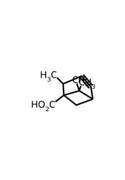 CC1C#CC2CC1(C(=O)O)C2(C)C